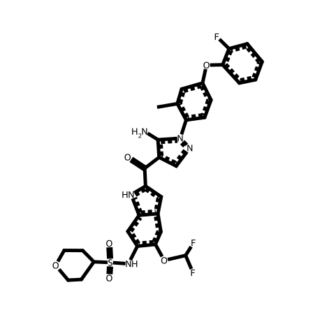 Cc1cc(Oc2ccccc2F)ccc1-n1ncc(C(=O)c2cc3cc(OC(F)F)c(NS(=O)(=O)C4CCOCC4)cc3[nH]2)c1N